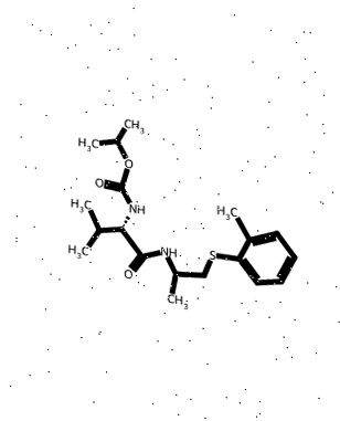 Cc1ccccc1SCC(C)NC(=O)[C@@H](NC(=O)OC(C)C)C(C)C